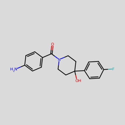 Nc1ccc(C(=O)N2CCC(O)(c3ccc(F)cc3)CC2)cc1